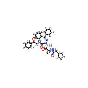 C[C@H](NC(=O)CC1CCCC1)C(=O)NC1N=C(c2ccccc2)c2ccccc2N(CC(=O)c2ccccc2)C1=O